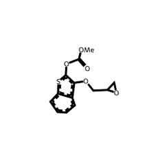 COC(=O)Oc1sc2ccccc2c1OCC1CO1